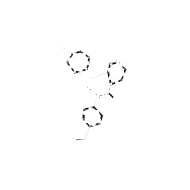 NCc1ccc(N(N)C(=O)c2ccncc2Nc2ccc(I)cc2F)cc1